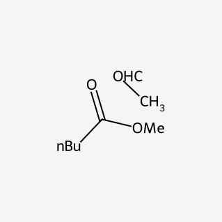 CC=O.CCCCC(=O)OC